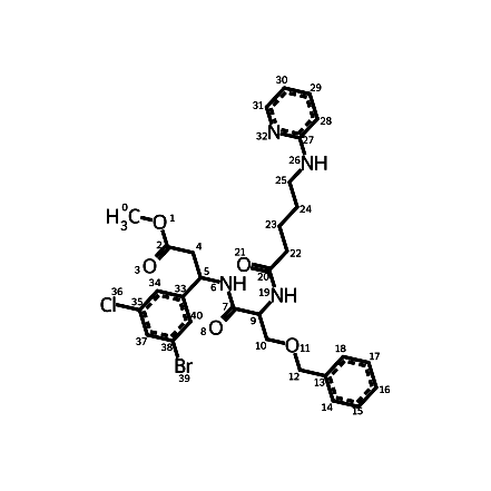 COC(=O)CC(NC(=O)C(COCc1ccccc1)NC(=O)CCCCNc1ccccn1)c1cc(Cl)cc(Br)c1